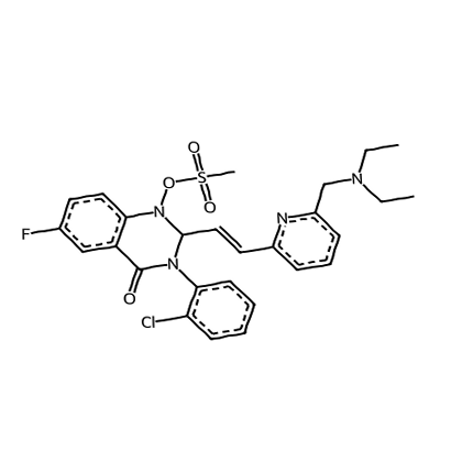 CCN(CC)Cc1cccc(C=CC2N(OS(C)(=O)=O)c3ccc(F)cc3C(=O)N2c2ccccc2Cl)n1